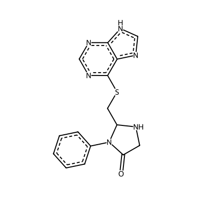 O=C1CNC(CSc2ncnc3[nH]cnc23)N1c1ccccc1